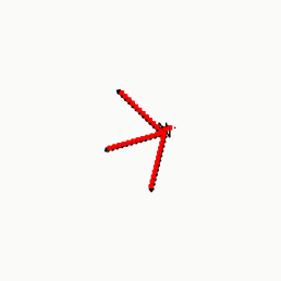 [CH2]Cc1nc(CCCCCCCCCCCCCCCCCCCCCCCC)c(CCCCCCCCCCCCCCCCCCCCCCCC)c(CCCCCCCCCCCCCCCCCCCCCCCC)n1